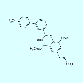 C=CCc1cc(C=CC(=O)O)cc(OC)c1OC(CCCC)c1cccc(-c2ccc(C(F)(F)F)cc2)n1